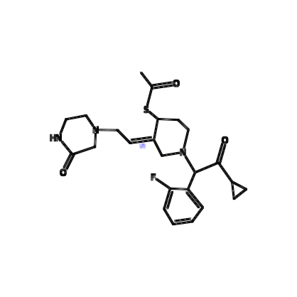 CC(=O)SC1CCN(C(C(=O)C2CC2)c2ccccc2F)C/C1=C/CN1CCNC(=O)C1